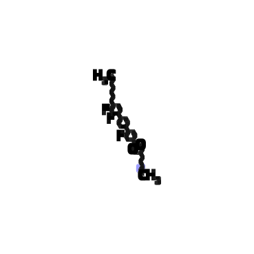 C/C=C/CCC1COC(c2ccc(-c3ccc(-c4ccc(CCCCCCC)c(F)c4F)cc3)c(F)c2)OC1